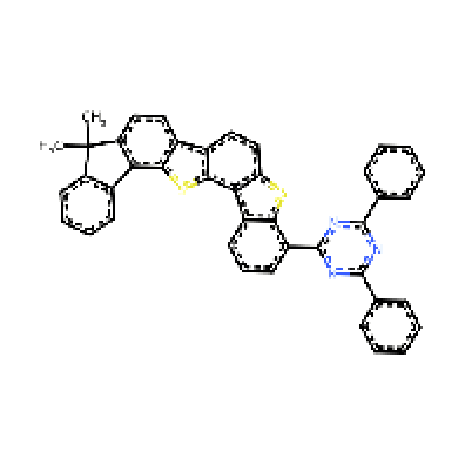 CC1(C)c2ccccc2-c2c1ccc1c2sc2c1ccc1sc3c(-c4nc(-c5ccccc5)nc(-c5ccccc5)n4)cccc3c12